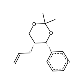 C=CC[C@@H]1COC(C)(C)O[C@@H]1c1cccnc1